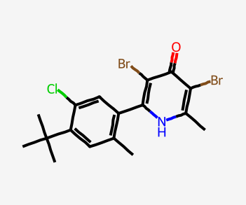 Cc1cc(C(C)(C)C)c(Cl)cc1-c1[nH]c(C)c(Br)c(=O)c1Br